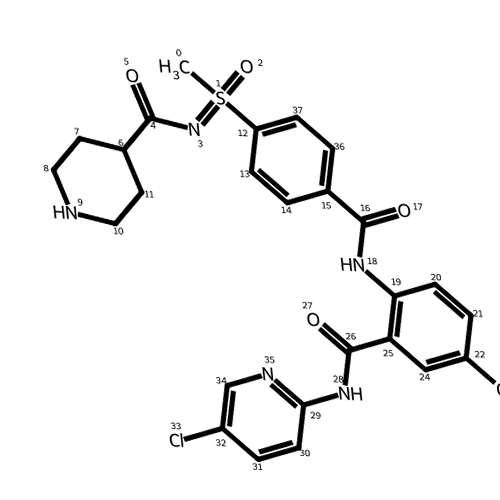 CS(=O)(=NC(=O)C1CCNCC1)c1ccc(C(=O)Nc2ccc(Cl)cc2C(=O)Nc2ccc(Cl)cn2)cc1